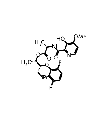 COc1ccnc(C(=O)N[C@@H](C)C(=O)O[C@@H](C)[C@@H](CC(C)C)Oc2cc(F)ccc2F)c1O